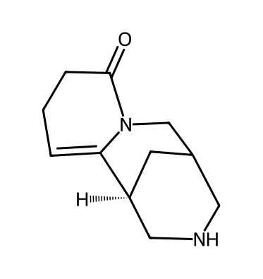 O=C1CCC=C2[C@@H]3CNCC(C3)CN12